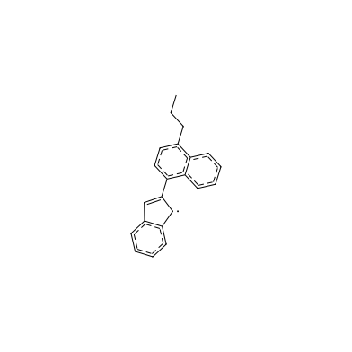 CCCc1ccc(C2=Cc3ccccc3[CH]2)c2ccccc12